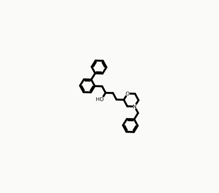 OC(CCC1CN(Cc2ccccc2)CCO1)Cc1ccccc1-c1ccccc1